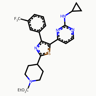 CCOC(=O)N1CCC(c2nc(-c3cccc(C(F)(F)F)c3)c(-c3ccnc(NC4CC4)n3)s2)CC1